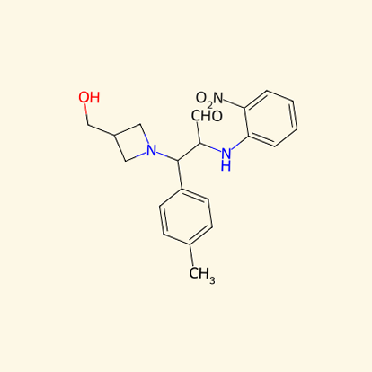 Cc1ccc(C(C(C=O)Nc2ccccc2[N+](=O)[O-])N2CC(CO)C2)cc1